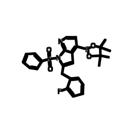 CC1(C)OB(c2ccnc3c2cc(Cc2ccccc2F)n3S(=O)(=O)c2ccccc2)OC1(C)C